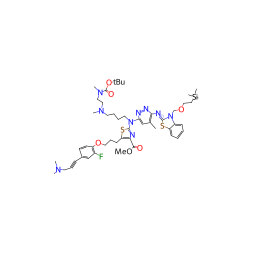 COC(=O)c1nc(N(CCCCN(C)CCN(C)C(=O)OC(C)(C)C)c2cc(C)c(/N=c3\sc4ccccc4n3COCC[Si](C)(C)C)nn2)sc1CCCOc1ccc(C#CCN(C)C)cc1F